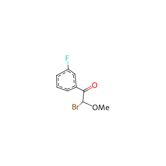 COC(Br)C(=O)c1cccc(F)c1